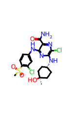 CS(=O)(=O)c1ccc(Nc2nc(N[C@H]3CC[C@](C)(O)CC3)c(Cl)nc2C(N)=O)cc1Cl